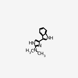 CN(C)c1nc(-c2c[nH]c3ccccc23)c[nH]1